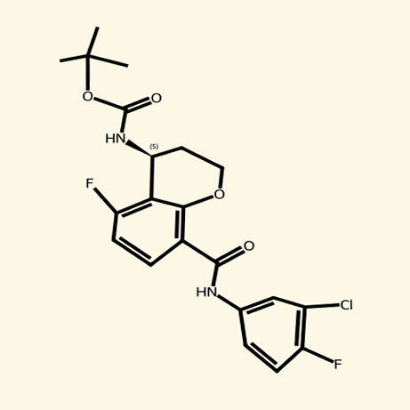 CC(C)(C)OC(=O)N[C@H]1CCOc2c(C(=O)Nc3ccc(F)c(Cl)c3)ccc(F)c21